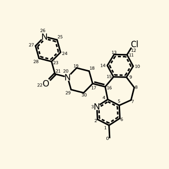 Cc1cnc2c(c1)CCc1cc(Cl)ccc1C2=C1CCN(C(=O)c2ccncc2)CC1